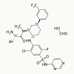 CC(C)[C@H](N)C(=O)N(C)[C@H]1C[C@@H](c2cccc(C(F)(F)F)c2)CC[C@@H]1Nc1cc(F)c(S(=O)(=O)Nc2ccncn2)cc1Cl.O=CO